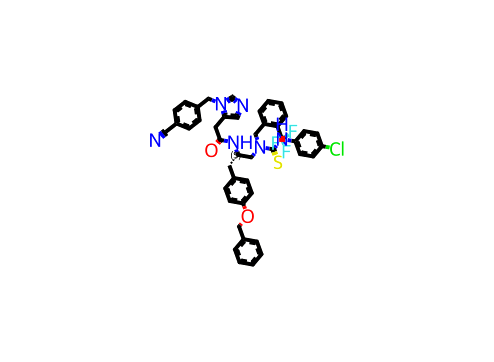 N#Cc1ccc(Cn2cncc2CC(=O)N[C@@H](Cc2ccc(OCc3ccccc3)cc2)CN(Cc2ccccc2C(F)(F)F)C(=S)Nc2ccc(Cl)cc2)cc1